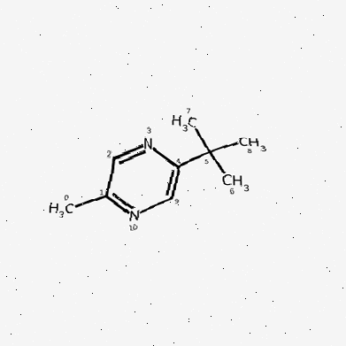 Cc1cnc(C(C)(C)C)cn1